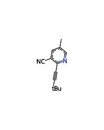 Cc1cnc(C#CC(C)(C)C)c(C#N)c1